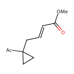 COC(=O)C=CCC1(C(C)=O)CC1